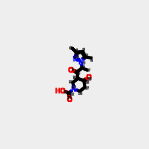 Cc1cc(C)n(C(C)C(=O)C2CN(C(=O)O)CCC2=O)n1